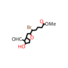 COC(=O)CCCC(Br)C1CC2C(CC(O)C2C=O)O1